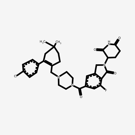 CC1(C)CCC(CN2CCN(C(=O)c3cc(F)c4c(c3)CN(C3CCC(=O)NC3=O)C4=O)CC2)=C(c2ccc(Cl)cc2)C1